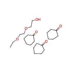 CCOCCOCCO.O=C1CCCCC1.O=C1CCCCC1.O=C1CCCCC1